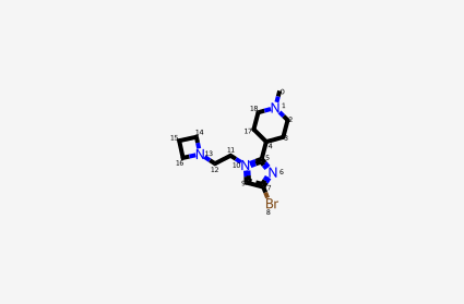 CN1CCC(c2nc(Br)cn2CCN2CCC2)CC1